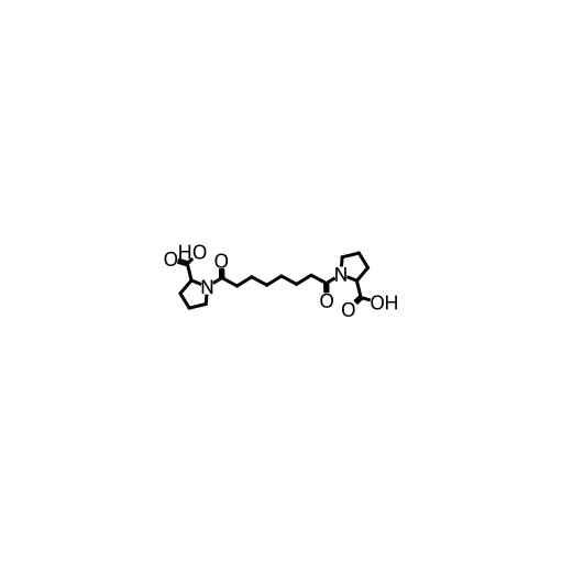 O=C(O)C1CCCN1C(=O)CCCCCCC(=O)N1CCCC1C(=O)O